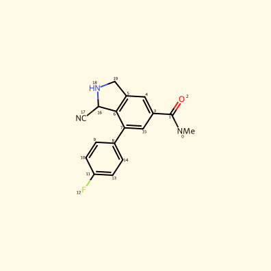 CNC(=O)c1cc2c(c(-c3ccc(F)cc3)c1)C(C#N)NC2